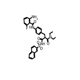 CCN(CC)C(=O)C(Cc1ccc(NC(=O)c2c(N)cccc2F)cc1)C(=O)NS(=O)(=O)c1ccc2ccccc2c1